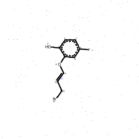 Oc1ccc(F)cc1O/C=C/CBr